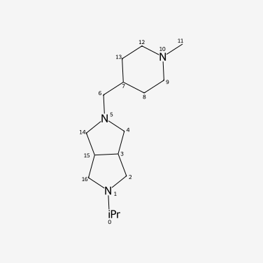 CC(C)N1CC2CN(CC3CCN(C)CC3)CC2C1